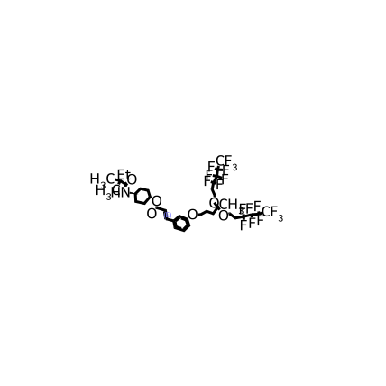 CCC(C)(C)C(=O)N[C@H]1CC[C@H](OC(=O)/C=C/c2cccc(OCCCC(C)(OCCC(F)(F)C(F)(F)C(F)(F)C(F)(F)F)OCCC(F)(F)C(F)(F)C(F)(F)C(F)(F)F)c2)CC1